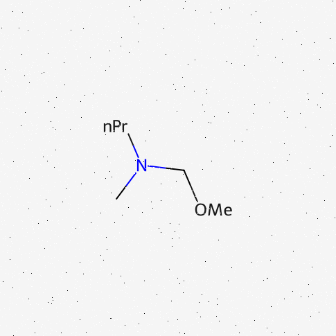 CCCN(C)COC